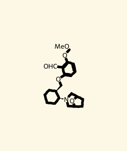 COCOc1cccc(OC[C@@H]2CCCC[C@H]2N2CC3CCC(C2)O3)c1C=O